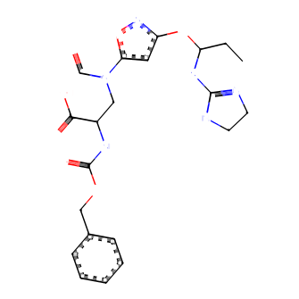 CCC(NC1=NCCN1)Oc1cc(N(C=O)CC(NC(=O)OCc2ccccc2)C(=O)O)on1.I